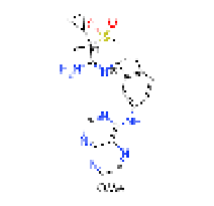 COc1cnc2c(Nc3ccc4c(c3)[C@]3(C4)CS(=O)(=O)[C@@](C)(C4CC4)C(N)=N3)ncnc2n1